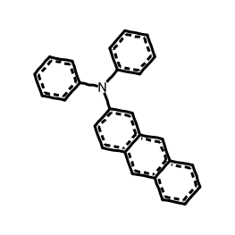 c1ccc(N(c2ccccc2)c2ccc3cc4ccccc4cc3c2)cc1